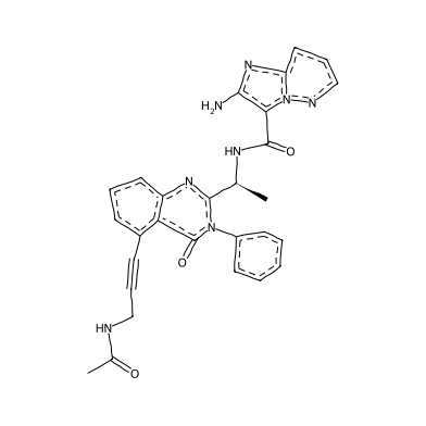 CC(=O)NCC#Cc1cccc2nc([C@H](C)NC(=O)c3c(N)nc4cccnn34)n(-c3ccccc3)c(=O)c12